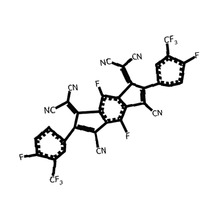 N#CC(C#N)=C1C(c2ccc(F)c(C(F)(F)F)c2)=C(C#N)c2c(F)c3c(c(F)c21)C(=C(C#N)C#N)C(c1ccc(F)c(C(F)(F)F)c1)=C3C#N